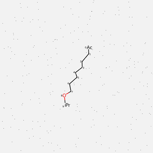 CC(=O)CCCCCCCOC(C)C